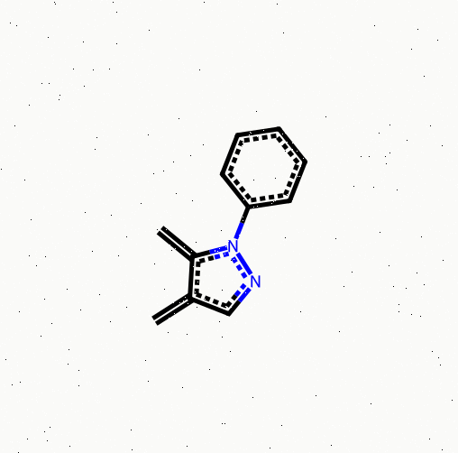 C=c1cnn(-c2ccccc2)c1=C